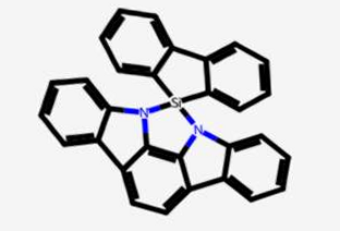 c1ccc2c(c1)-c1ccccc1[Si]21n2c3ccccc3c3ccc4c5ccccc5n1c4c32